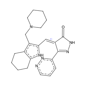 O=C1NN=C(c2cccnn2)/C1=C\c1[nH]c2c(c1CN1CCCCC1)CCCC2